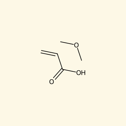 C=CC(=O)O.COC